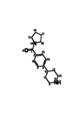 O=C(c1ccc(C2CCNCC2)cc1)N1CCCC1